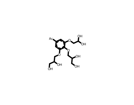 CC(=O)c1cc(OCC(O)O)c(OCC(O)CO)c(OCC(O)CO)c1